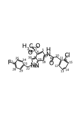 CS(=O)(=O)c1cc(NC(=O)Cc2ccccc2Cl)cc2nn(Cc3ccc(F)cc3)cc12